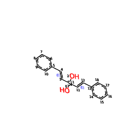 O[Si](O)(/C=C/c1ccccc1)/C=C/c1ccccc1